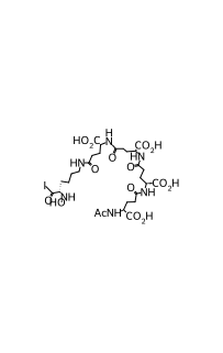 CC(=O)N[C@@H](CCC(=O)N[C@@H](CCC(=O)N[C@@H](CCC(=O)N[C@@H](CCC(=O)NCCCC[C@H](NO)C(=O)I)C(=O)O)C(=O)O)C(=O)O)C(=O)O